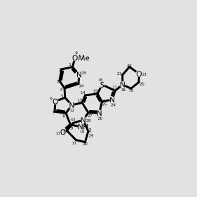 COc1ccc(C2OC=C(C(N)=O)N2c2cc3sc(N4CCOCC4)nc3nc2N2CCCCC2)cn1